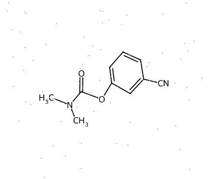 CN(C)C(=O)Oc1cccc(C#N)c1